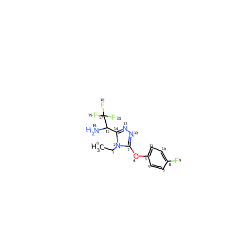 CCn1c(Oc2ccc(F)cc2)nnc1C(N)C(F)(F)F